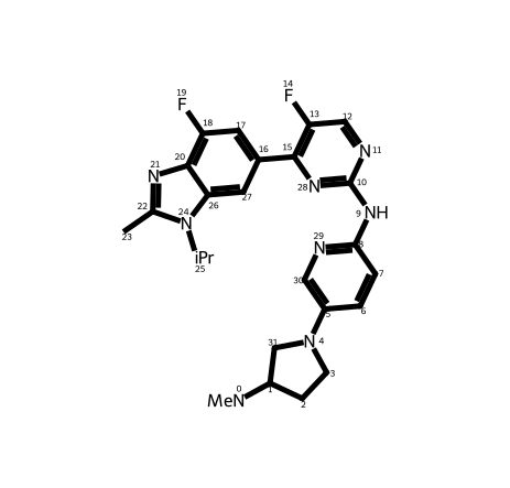 CNC1CCN(c2ccc(Nc3ncc(F)c(-c4cc(F)c5nc(C)n(C(C)C)c5c4)n3)nc2)C1